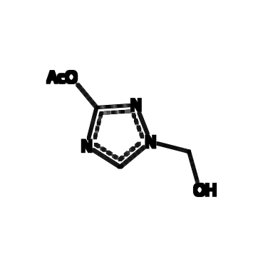 CC(=O)Oc1ncn(CO)n1